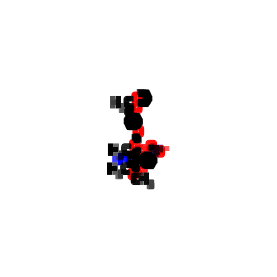 COC(=O)C1=C(C)NC(C)=C(C(=O)OCCOc2ccc(CC(C)OC3CCCCO3)cc2)C1c1cccc([N+](=O)[O-])c1